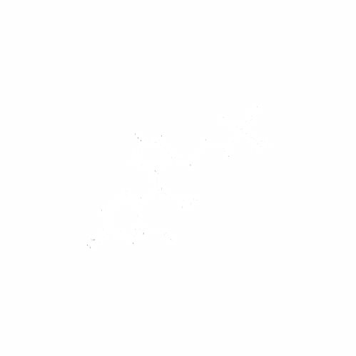 CS(=O)(=O)OCCc1cncn1C(C(=O)O)c1ccc(C#N)cc1F